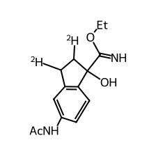 [2H]C1c2cc(NC(C)=O)ccc2C(O)(C(=N)OCC)C1[2H]